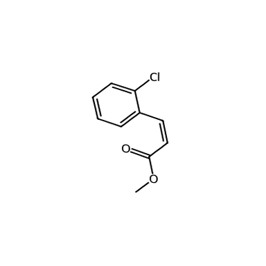 COC(=O)/C=C\c1ccccc1Cl